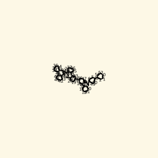 c1ccc(-c2ccc(-n3c4ccccc4c4cc(-c5ccc6c(c5)-c5ccccc5N(c5cc7ccccc7c7ccccc57)C6)ccc43)cc2)cc1